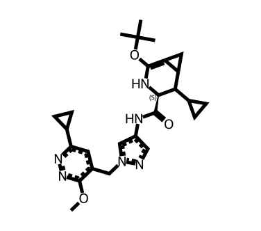 COc1nnc(C2CC2)cc1Cn1cc(NC(=O)[C@H]2NC(OC(C)(C)C)=C3CC3C2C2CC2)cn1